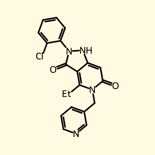 CCc1c2c(=O)n(-c3ccccc3Cl)[nH]c2cc(=O)n1Cc1cccnc1